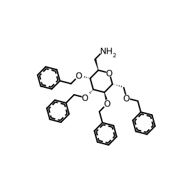 NC[C@H]1O[C@H](COCc2ccccc2)[C@@H](OCc2ccccc2)[C@H](OCc2ccccc2)[C@@H]1OCc1ccccc1